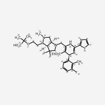 CCOC(=O)C1=C(CN2CC(F)(F)[C@@H]3[C@H]2CN(C)N3CCOC(C)(C)C(=O)O)NC(c2nccs2)=N[C@H]1c1cccc(F)c1C